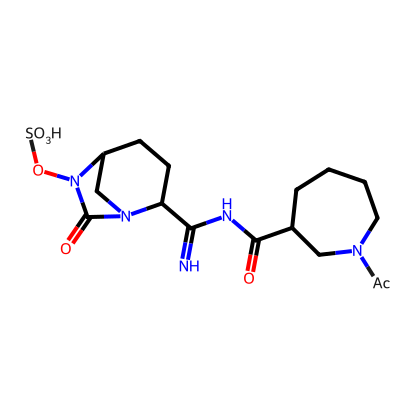 CC(=O)N1CCCCC(C(=O)NC(=N)C2CCC3CN2C(=O)N3OS(=O)(=O)O)C1